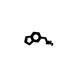 NCc1ccc2c(c1)CC=C2